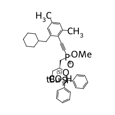 COP(=O)(C#Cc1c(C)cc(C)cc1CC1CCCCC1)C[C@H](CC(=O)O)O[Si](c1ccccc1)(c1ccccc1)C(C)(C)C